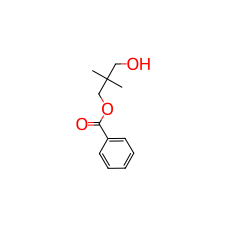 CC(C)(CO)COC(=O)c1ccccc1